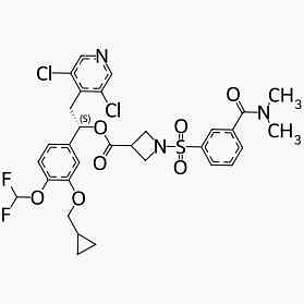 CN(C)C(=O)c1cccc(S(=O)(=O)N2CC(C(=O)O[C@@H](Cc3c(Cl)cncc3Cl)c3ccc(OC(F)F)c(OCC4CC4)c3)C2)c1